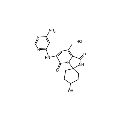 Cc1cc(Nc2cc(N)ncn2)c(=O)n2c1C(=O)NC21CCC(O)CC1.Cl